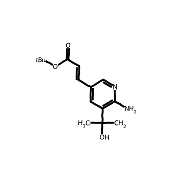 CC(C)(C)OC(=O)C=Cc1cnc(N)c(C(C)(C)O)c1